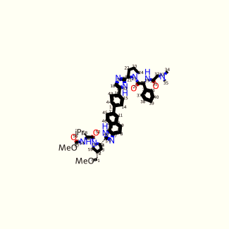 COC[C@H]1C[C@@H](c2nc3ccc4cc(-c5ccc(-c6cnc([C@@H]7CCCN7C(=O)[C@H](NC(=O)CN(C)C)c7ccccc7)[nH]6)cc5)ccc4c3[nH]2)N(C(=O)[C@@H](NC(=O)OC)C(C)C)C1